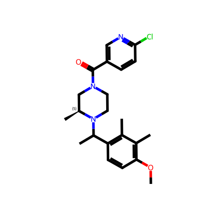 COc1ccc(C(C)N2CCN(C(=O)c3ccc(Cl)nc3)C[C@@H]2C)c(C)c1C